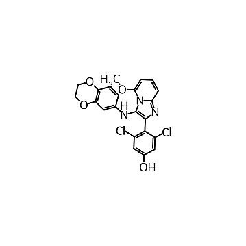 COc1cccc2nc(-c3c(Cl)cc(O)cc3Cl)c(Nc3ccc4c(c3)OCCO4)n12